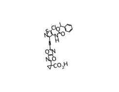 CC(OC(=O)Nc1c(C#Cc2nc3oc(C4(C(=O)O)CC4)nc3o2)nsc1Cl)c1ccccc1